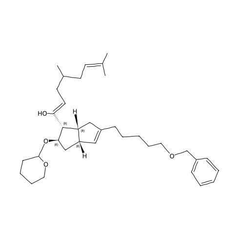 CC(C)=CCC(C)CC=C(O)[C@@H]1[C@@H]2CC(CCCCCOCc3ccccc3)=C[C@@H]2C[C@H]1OC1CCCCO1